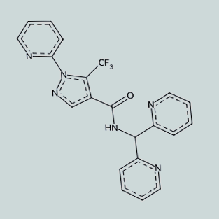 O=C(NC(c1ccccn1)c1ccccn1)c1cnn(-c2ccccn2)c1C(F)(F)F